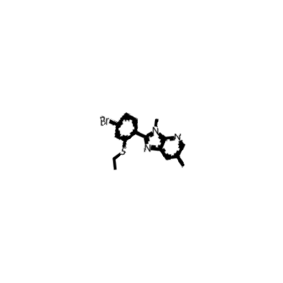 CCSc1cc(Br)ccc1-c1nc2cc(C)cnc2n1C